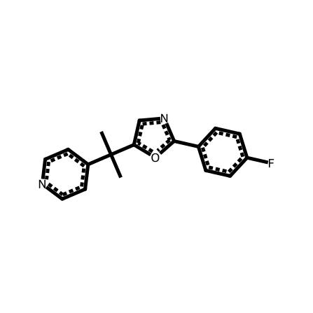 CC(C)(c1ccncc1)c1cnc(-c2ccc(F)cc2)o1